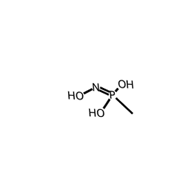 CP(O)(O)=NO